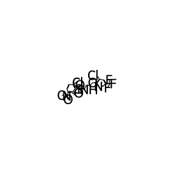 O=[N+]([O-])c1ccc(Cl)c(S(=O)(=O)NCCOc2ncc(C(F)(F)F)cc2Cl)c1